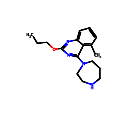 CCCOc1nc(N2CCCNCC2)c2c(C)cccc2n1